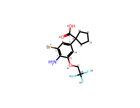 Nc1c(Br)cc(C2(C(=O)O)CCCC2)cc1OCC(F)(F)F